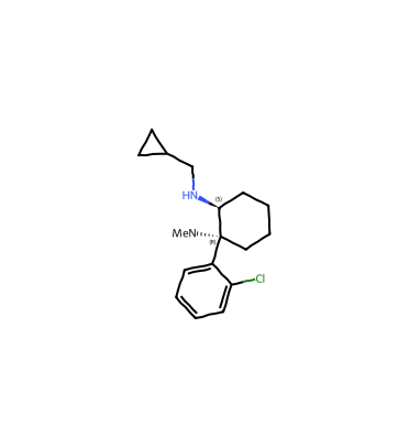 CN[C@@]1(c2ccccc2Cl)CCCC[C@@H]1NCC1CC1